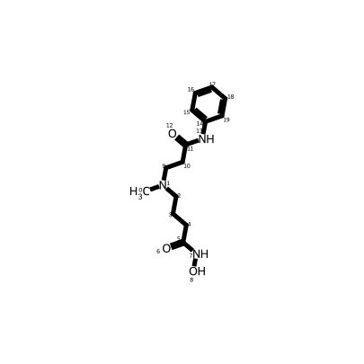 CN(CCCC(=O)NO)CCC(=O)Nc1ccccc1